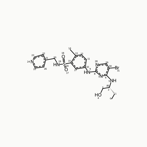 CC[C@H](CO)Nc1nc(Nc2ccc(C)c(S(=O)(=O)NCc3ccncc3)c2)ncc1Br